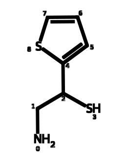 NCC(S)c1cccs1